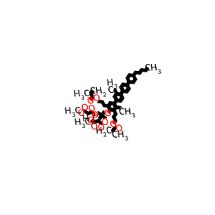 C=C(C)C(=O)OCCCc1cc(-c2ccc(-c3ccc(C4CCC(CCCCC)CC4)cc3)c(CC)c2)c(CC)c(CCCOC(=O)C(=C)C)c1OCC(CC)(COC(=O)CC(=O)OC)COC(=O)CC(=O)OC